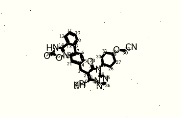 CCCc1c(Cc2ccc(-c3ccccc3-c3noc(=O)[nH]3)cc2)c(=O)n(C2CCC(OCC#N)CC2)c2ncnn12.[KH]